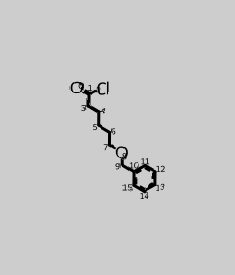 O=C(Cl)CCCCCOCc1ccccc1